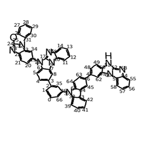 c1cc(-c2ccc3c(c2)n2c4ccccc4nc2n3-c2ccc3nc4oc5ccccc5n4c3c2)cc(-n2c3ccccc3c3cc(-c4ccc5[nH]c6nc7ccccc7n6c5c4)ccc32)c1